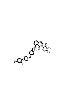 O=C1CCC(n2nnc3cccc(NCc4ccc(CN5CCN(c6ccc(F)cc6F)CC5)cc4)c3c2=O)C(=O)N1